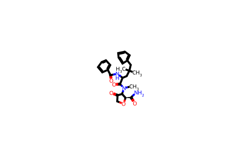 CN(C(=O)C(CC(C)(C)Cc1ccccc1)NC(=O)c1ccccc1)C1C(=O)CO[C@@H]1C(N)=O